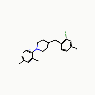 C=C(C)/C=C(C)\C(=C/C)N1CCC(Cc2ccc(C)cc2F)CC1